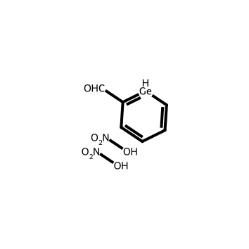 O=C[C]1=[GeH][CH]=CC=C1.O=[N+]([O-])O.O=[N+]([O-])O